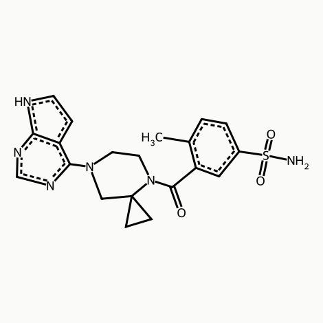 Cc1ccc(S(N)(=O)=O)cc1C(=O)N1CCN(c2ncnc3[nH]ccc23)CC12CC2